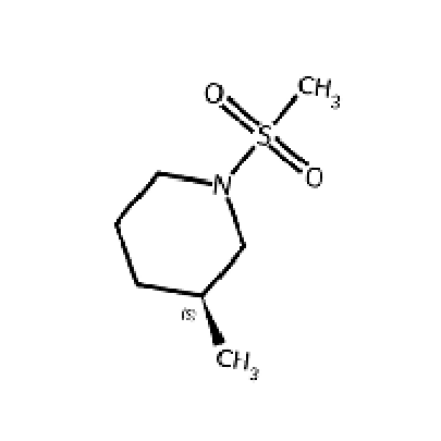 C[C@H]1CCCN(S(C)(=O)=O)C1